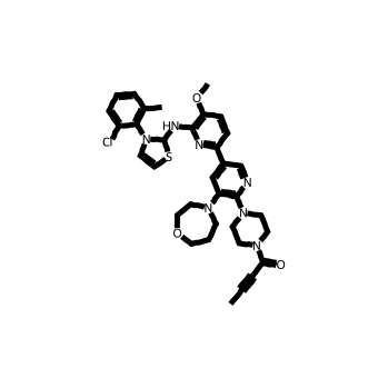 CC#CC(=O)N1CCN(c2ncc(-c3ccc(OC)c(NC4SC=CN4c4c(C)cccc4Cl)n3)cc2N2CCCOCC2)CC1